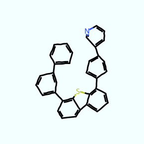 c1ccc(-c2cccc(-c3cccc4c3sc3c(-c5ccc(-c6cccnc6)cc5)cccc34)c2)cc1